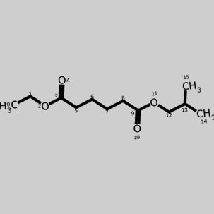 CCOC(=O)CCCCC(=O)OCC(C)C